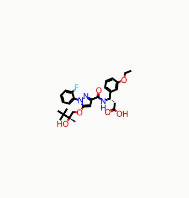 CCOc1cccc([C@H](CC(=O)O)NC(=O)c2cc(OC[C@](C)(O)C(C)(C)C)n(-c3ccccc3F)n2)c1